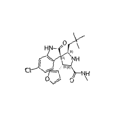 CNC(=O)[C@@H]1N[C@H](CC(C)(C)C)[C@]2(C(=O)Nc3cc(Cl)ccc32)[C@H]1c1ccoc1